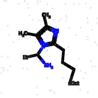 CCCCCCCCCCCc1nc(C)c(C)n1C(N)CC